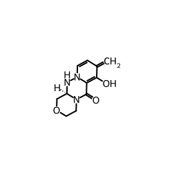 C=C1C=CN2N[C@@H]3COCCN3C(=O)C2=C1O